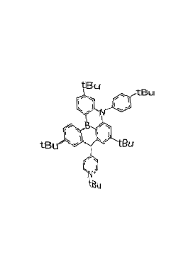 CC(C)(C)c1ccc(N2c3cc(C(C)(C)C)ccc3B3c4ccc(C(C)(C)C)cc4C(c4cc[n+](C(C)(C)C)cc4)c4cc(C(C)(C)C)cc2c43)cc1